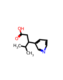 CC(C)C(CC(=O)O)c1cccnc1